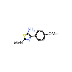 CNc1nc(-c2ccc(OC)cc2)c(N)s1